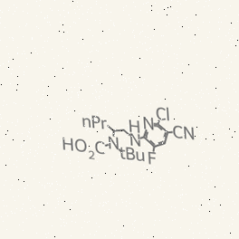 CCCC(CNc1nc(Cl)c(C#N)cc1F)N(C(=O)O)C(C)(C)C